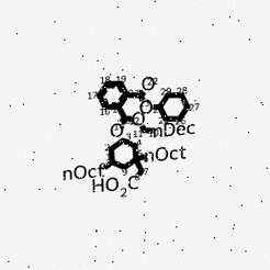 CCCCCCCCC1CCCC(CCCCCCCC)(CC(=O)O)C1.CCCCCCCCCCCOC(=O)c1ccccc1C(=O)OC1CCCCC1